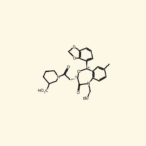 Cc1ccc2c(c1)[C@H](c1cccc3c1OCO3)O[C@@H](CC(=O)N1CCCC(C(=O)O)C1)C(=O)N2CC(C)(C)C